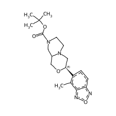 Cc1c([C@@H]2CN3CCN(C(=O)OC(C)(C)C)CC3CO2)ccc2nonc12